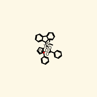 C[Si](C)=[Ti]([O]C(=O)c1ccccc1)([O]C(=O)c1ccccc1)([C]1=CC=CC1)[CH]1c2ccccc2-c2ccccc21